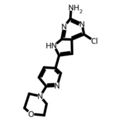 Nc1nc(Cl)c2cc(-c3ccc(N4CCOCC4)nc3)[nH]c2n1